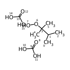 CC(C)C(C)(C)OO.O=C(O)O.O=C(O)O